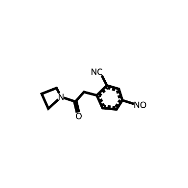 N#Cc1cc(N=O)ccc1CC(=O)N1CCC1